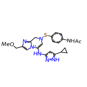 COCC1=C[N+]2C(Nc3cc(C4CC4)[nH]n3)=CN(Sc3ccc(NC(C)=O)cc3)CC2=N1